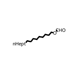 CCCCCCCCCCCCCCCCOC=O